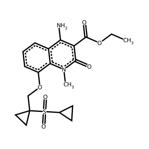 CCOC(=O)c1c(N)c2cccc(OCC3(S(=O)(=O)C4CC4)CC3)c2n(C)c1=O